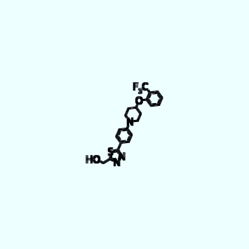 OCc1nnc(-c2ccc(N3CCC(Oc4ccccc4C(F)(F)F)CC3)cc2)s1